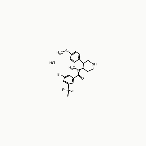 COc1ccc(C2CNCCC2N(C)C(=O)c2cc(Br)cc(C(F)(F)F)c2)cc1.Cl